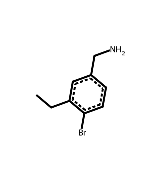 CCc1cc(CN)ccc1Br